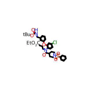 CCOC(=O)CCCN(C(=O)C1CCN(S(=O)(=O)c2ccccc2)CC1)c1ccc(Cl)cc1Oc1cccc(CNC(=O)OC(C)(C)C)c1